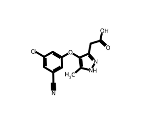 Cc1[nH]nc(CC(=O)O)c1Oc1cc(Cl)cc(C#N)c1